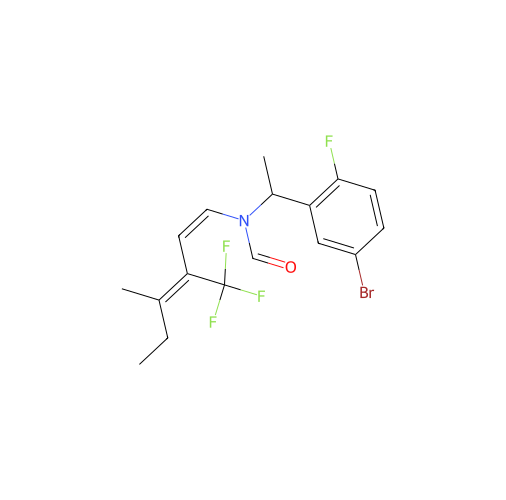 CC/C(C)=C(/C=C\N(C=O)C(C)c1cc(Br)ccc1F)C(F)(F)F